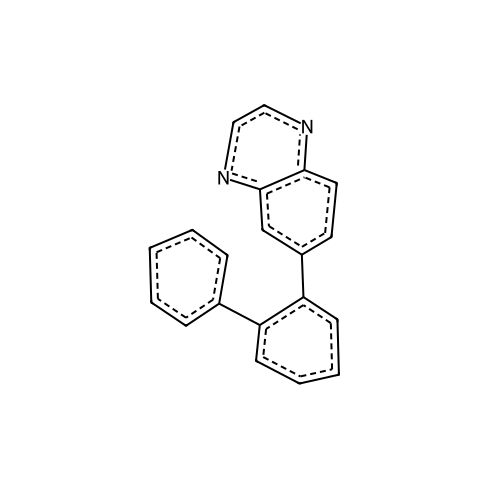 c1ccc(-c2ccccc2-c2ccc3nccnc3c2)cc1